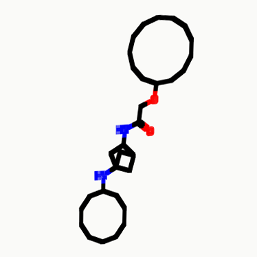 O=C(COC1CCCCCCCCCCCC1)NC1CC2(NC3CCCCCCCCC3)CC1C2